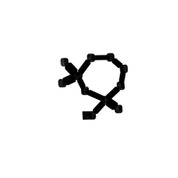 O=P1(O)OOO[O][W](=[O])(=[O])[O]1